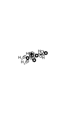 COc1cc(Nc2nc3ccccc3nc2N(Oc2cccc(NC(=O)CNc3ccccc3Cl)c2)S(=O)(=O)O)cc(OC)c1